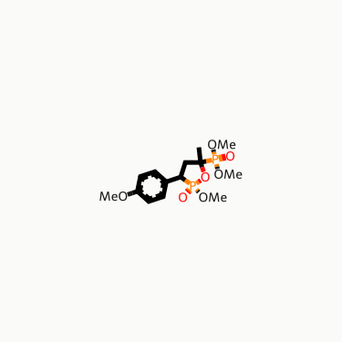 COc1ccc(C2CC(C)(P(=O)(OC)OC)OP2(=O)OC)cc1